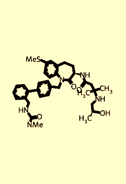 CNC(=O)NCc1ccccc1-c1ccc(CN2C(=O)[C@H](NC(=O)CC(C)(C)NC[C@@H](C)O)CCc3cc(SC)ccc32)cc1